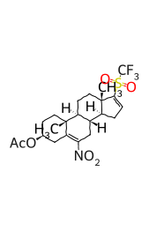 CC(=O)O[C@H]1CC[C@@]2(C)C(=C([N+](=O)[O-])C[C@@H]3[C@@H]2CC[C@]2(C)C(S(=O)(=O)C(F)(F)F)=CC[C@@H]32)C1